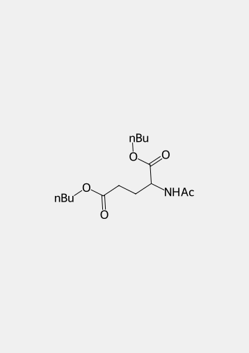 CCCCOC(=O)CCC(NC(C)=O)C(=O)OCCCC